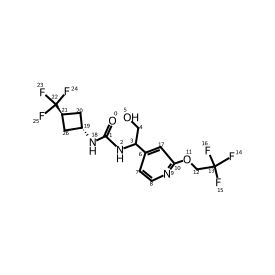 O=C(NC(CO)c1ccnc(OCC(F)(F)F)c1)N[C@H]1C[C@H](C(F)(F)F)C1